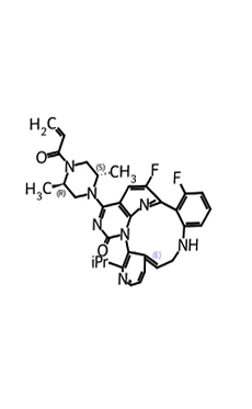 C=CC(=O)N1C[C@H](C)N(c2nc(=O)n3c4nc(c(F)cc24)-c2c(F)cccc2NC/C=C2\C=CC=NC(C(C)C)=C23)C[C@H]1C